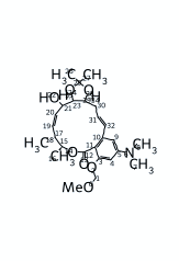 COCOc1cc(N(C)C)cc2c1C(=O)O[C@@H](C)[C@H](C)/C=C\C(O)[C@H]1OC(C)(C)O[C@H]1C/C=C/2